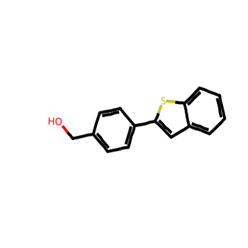 OCc1ccc(-c2cc3ccccc3s2)cc1